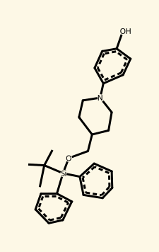 CC(C)(C)[Si](OCC1CCN(c2ccc(O)cc2)CC1)(c1ccccc1)c1ccccc1